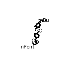 CCCCCC1COC(c2ccc(C(=O)Oc3ccc(OCCCC)cc3C)cc2)OC1